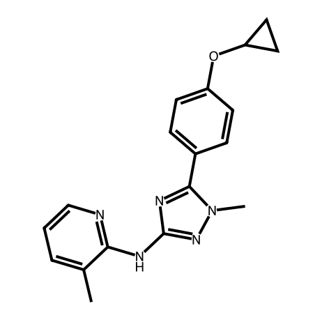 Cc1cccnc1Nc1nc(-c2ccc(OC3CC3)cc2)n(C)n1